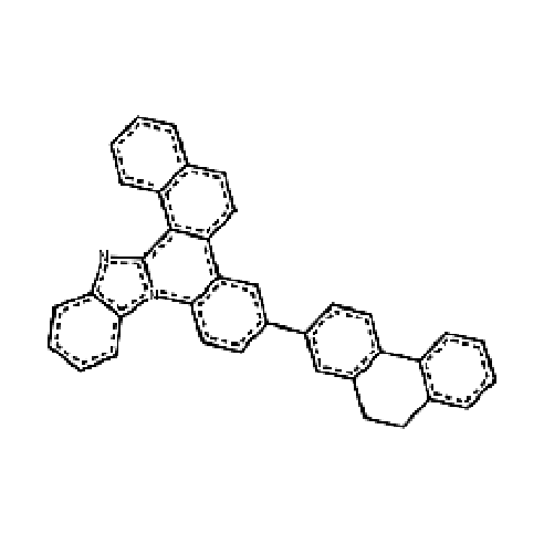 c1ccc2c(c1)CCc1cc(-c3ccc4c(c3)c3ccc5ccccc5c3c3nc5ccccc5n43)ccc1-2